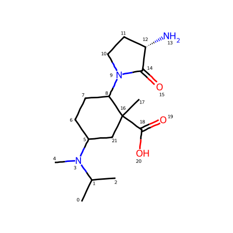 CC(C)N(C)C1CCC(N2CC[C@H](N)C2=O)C(C)(C(=O)O)C1